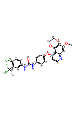 COc1cc2nccc(Oc3ccc(NC(=O)Nc4ccc(Cl)c(C(F)(F)F)c4)cc3)c2c2c1OCCO2